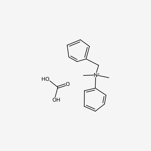 C[N+](C)(Cc1ccccc1)c1ccccc1.O=C(O)O